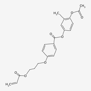 C=CC(=O)OCCCOc1ccc(C(=O)Oc2ccc(OC(C)=O)c(C)c2)cc1